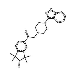 CC1(C)C(=O)C(C)(C)c2cc(C(=O)CN3CCN(c4noc5ccccc45)CC3)ccc21